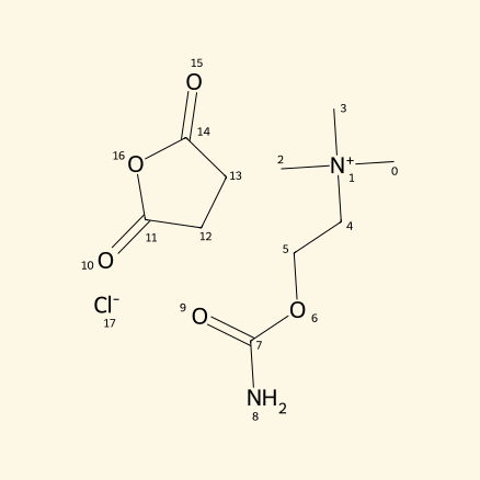 C[N+](C)(C)CCOC(N)=O.O=C1CCC(=O)O1.[Cl-]